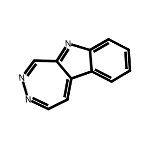 c1ccc2c3ccnncc-3nc2c1